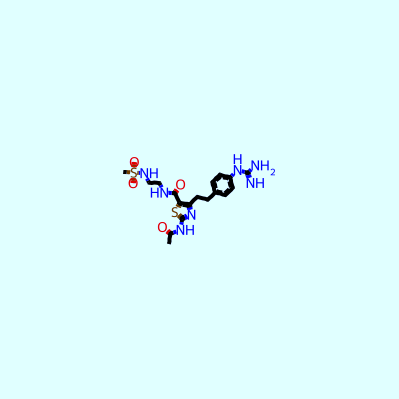 CC(=O)Nc1nc(CCc2ccc(NC(=N)N)cc2)c(C(=O)NCCNS(C)(=O)=O)s1